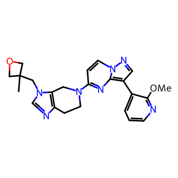 COc1ncccc1-c1cnn2ccc(N3CCc4ncn(CC5(C)COC5)c4C3)nc12